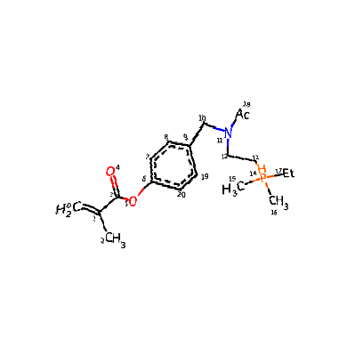 C=C(C)C(=O)Oc1ccc(CN(CC[PH](C)(C)CC)C(C)=O)cc1